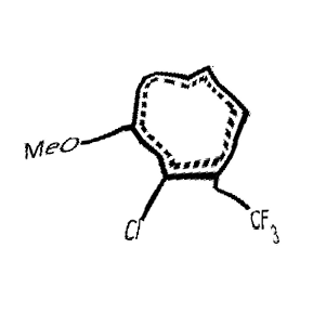 COc1c[c]cc(C(F)(F)F)c1Cl